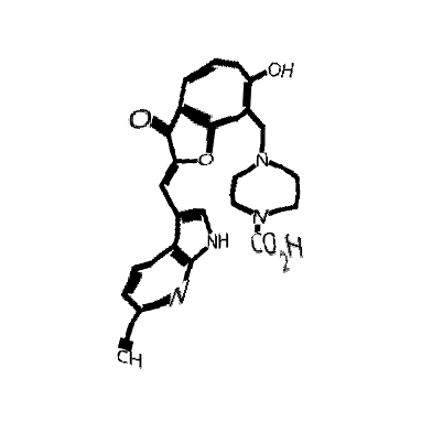 C#Cc1ccc2c(/C=C3\Oc4c(ccc(O)c4CN4CCN(C(=O)O)CC4)C3=O)c[nH]c2n1